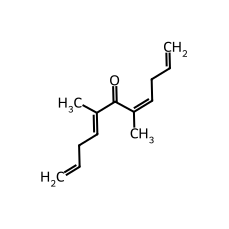 C=CCC=C(C)C(=O)C(C)=CCC=C